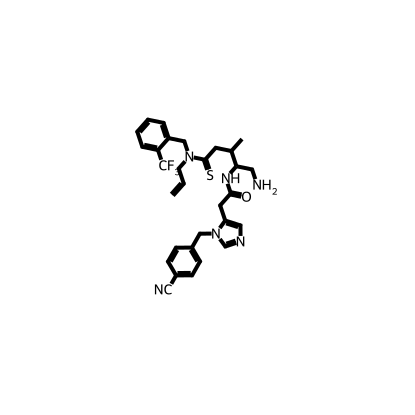 C=CCN(Cc1ccccc1C(F)(F)F)C(=S)CC(C)C(CN)NC(=O)Cc1cncn1Cc1ccc(C#N)cc1